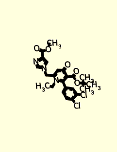 CCn1c(Cn2cnc(C(=O)OC)c2)cc(=O)c(C(=O)OC(C)(C)C)c1-c1ccc(Cl)c(Cl)c1